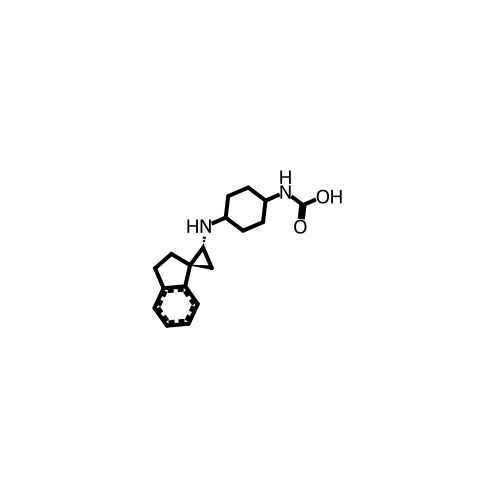 O=C(O)NC1CCC(N[C@@H]2C[C@@]23CCc2ccccc23)CC1